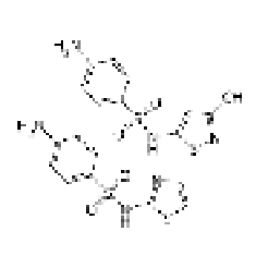 Cc1cc(NS(=O)(=O)c2ccc(N)cc2)sn1.Nc1ccc(S(=O)(=O)Nc2nccs2)cc1